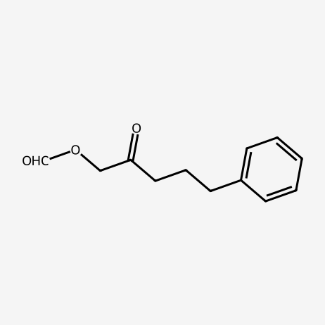 O=COCC(=O)CCCc1ccccc1